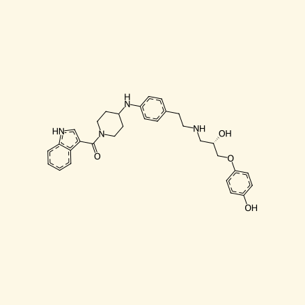 O=C(c1c[nH]c2ccccc12)N1CCC(Nc2ccc(CCNC[C@H](O)COc3ccc(O)cc3)cc2)CC1